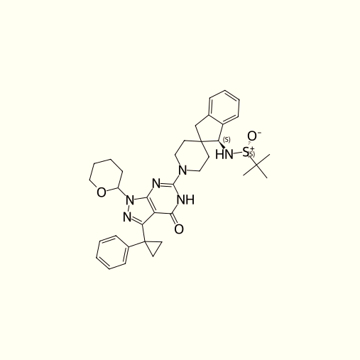 CC(C)(C)[S@@+]([O-])N[C@@H]1c2ccccc2CC12CCN(c1nc3c(c(C4(c5ccccc5)CC4)nn3C3CCCCO3)c(=O)[nH]1)CC2